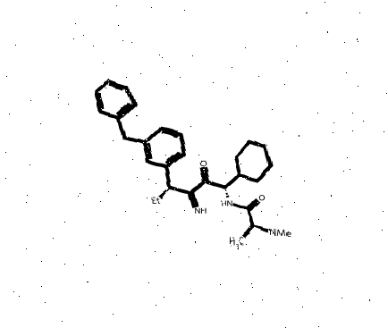 CC[C@H](C(=N)C(=O)[C@@H](NC(=O)[C@H](C)NC)C1CCCCC1)c1cccc(Cc2ccccc2)c1